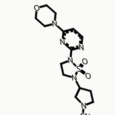 N#CN1CCC(N2CCN(c3nccc(N4CCOCC4)n3)S2(=O)=O)C1